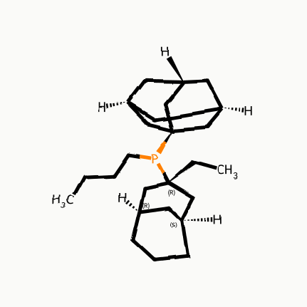 CCCCP([C@@]1(CC)C[C@@H]2CCC[C@@H](C2)C1)[C@]12C[C@H]3C[C@H](C[C@H](C3)C1)C2